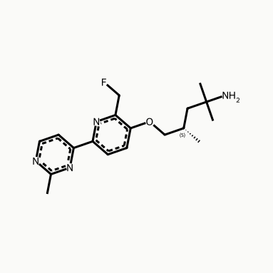 Cc1nccc(-c2ccc(OC[C@@H](C)CC(C)(C)N)c(CF)n2)n1